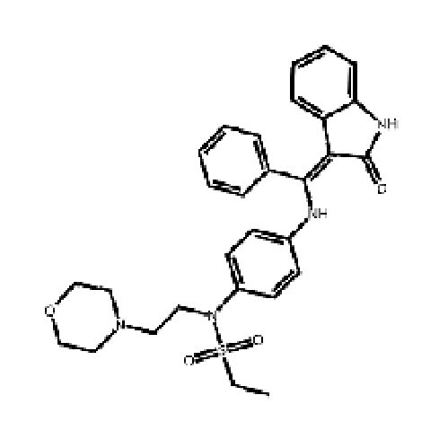 CCS(=O)(=O)N(CCN1CCOCC1)c1ccc(N/C(=C2\C(=O)Nc3ccccc32)c2ccccc2)cc1